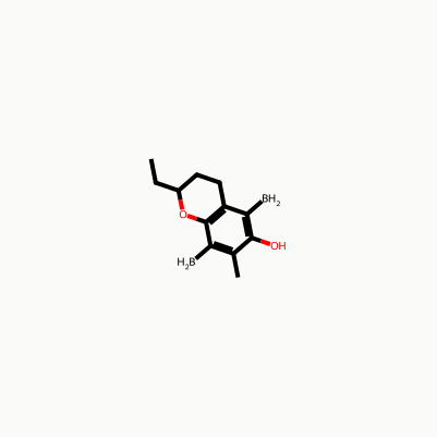 Bc1c(O)c(C)c(B)c2c1CCC(CC)O2